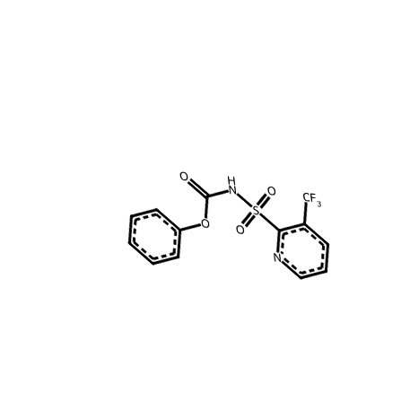 O=C(NS(=O)(=O)c1ncccc1C(F)(F)F)Oc1ccccc1